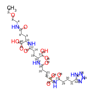 CCOCCNC(=O)CCC(NC(=O)CCC(NC(=O)CCCS(=O)(=O)NC(=O)CCCc1nnn[nH]1)C(=O)O)C(=O)O